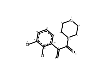 C=C(C(=O)N1CCOCC1)c1cc[c]c(Cl)c1Cl